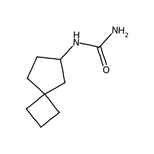 NC(=O)NC1CCC2(CCC2)C1